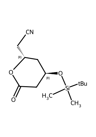 CC(C)(C)[Si](C)(C)O[C@H]1CC(=O)O[C@H](CC#N)C1